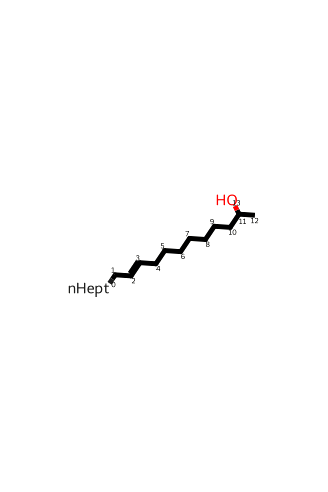 CCCCCCCCC=CCCCCCCCC(C)O